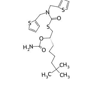 CC(C)(C)CCCC[C@@H](CSC(=O)N(Cc1cccs1)Cc1cccs1)OC(N)=O